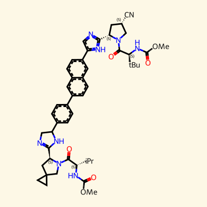 COC(=O)N[C@H](C(=O)N1CC2(CC2)C[C@H]1C1=NCC(c2ccc(-c3ccc4cc(-c5cnc([C@@H]6C[C@H](C#N)CN6C(=O)[C@@H](NC(=O)OC)C(C)(C)C)[nH]5)ccc4c3)cc2)N1)C(C)C